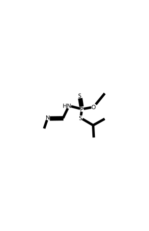 CN=CNP(=S)(OC)SC(C)C